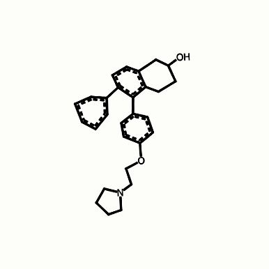 OC1CCc2c(ccc(-c3ccccc3)c2-c2ccc(OCCN3CCCC3)cc2)C1